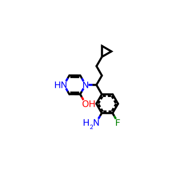 Nc1cc(C(CCC2CC2)N2C=CNC=C2O)ccc1F